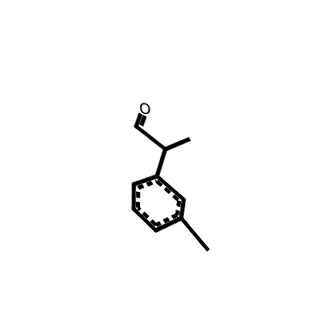 Cc1cccc(C(C)C=O)c1